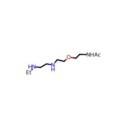 CCNCCNCCOCCNC(C)=O